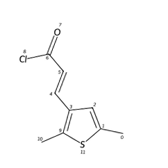 Cc1cc(/C=C/C(=O)Cl)c(C)s1